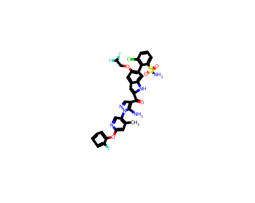 Cc1cc(Oc2ccccc2F)ncc1-n1ncc(C(=O)c2cc3cc(OCC(F)F)c(-c4c(Cl)cccc4S(N)(=O)=O)cc3[nH]2)c1N